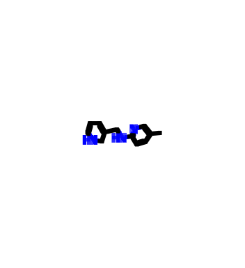 Cc1ccc(NCC2=CC=CNC2)nc1